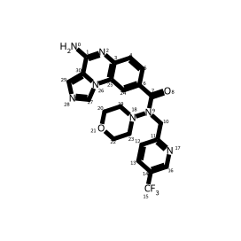 Nc1nc2ccc(C(=O)N(Cc3ccc(C(F)(F)F)cn3)N3CCOCC3)cc2n2cncc12